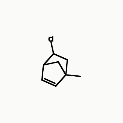 CC12C=CC(C1)C(Cl)C2